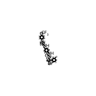 Cc1ccc(C(C)C)c(N2C(=O)CSC2=NC(=O)Nc2ccc(CNc3ncn(-c4ccc(OC(F)(F)F)cc4)n3)cn2)c1